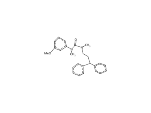 COc1cccc(N(C)C(=O)N(C)CCC(c2ccccc2)c2ccccc2)c1